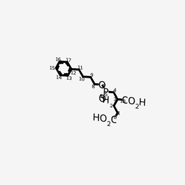 O=C(O)CCC(C[PH](=O)OCCCCc1ccccc1)C(=O)O